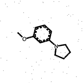 COc1[c]ccc(N2CCCC2)c1